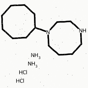 C1CCCC(N2CCCCNCC2)CCC1.Cl.Cl.N.N